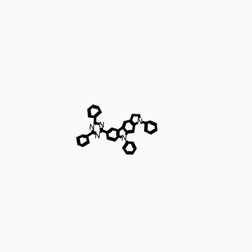 c1ccc(-c2nc(-c3ccccc3)nc(-c3ccc4c(c3)c3cc5c(cc3n4-c3ccccc3)N(c3ccccc3)CC5)n2)cc1